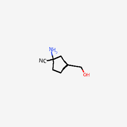 N#CC1(N)CCC(CO)C1